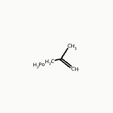 [CH]=C(C)C.[PoH2]